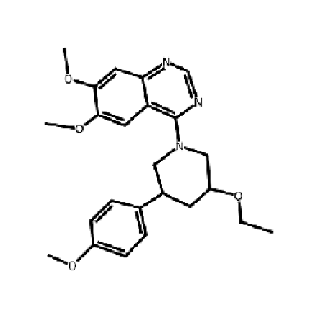 CCOC1CC(c2ccc(OC)cc2)CN(c2ncnc3cc(OC)c(OC)cc23)C1